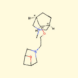 CN1C[C@H]2CC[C@@H](C1)[C@H]2OCCN1CC2CC(C1)O2